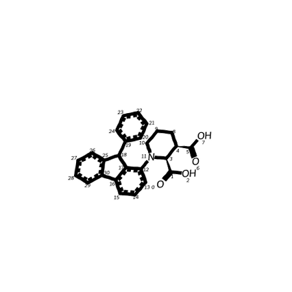 O=C(O)[C@@H]1[C@H](C(=O)O)CCCN1c1cccc2c1C(c1ccccc1)c1ccccc1-2